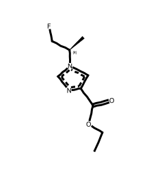 CCOC(=O)c1cn([C@H](C)CF)cn1